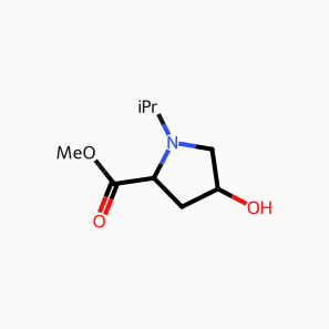 COC(=O)C1CC(O)CN1C(C)C